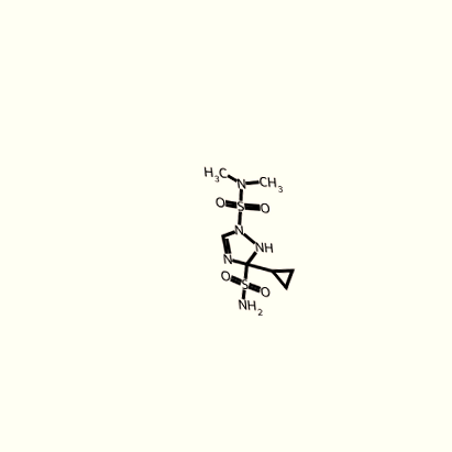 CN(C)S(=O)(=O)N1C=NC(C2CC2)(S(N)(=O)=O)N1